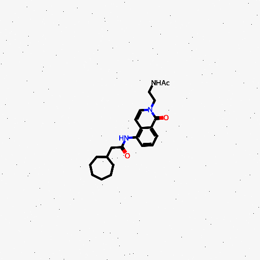 CC(=O)NCCn1ccc2c(NC(=O)CC3CCCCCC3)cccc2c1=O